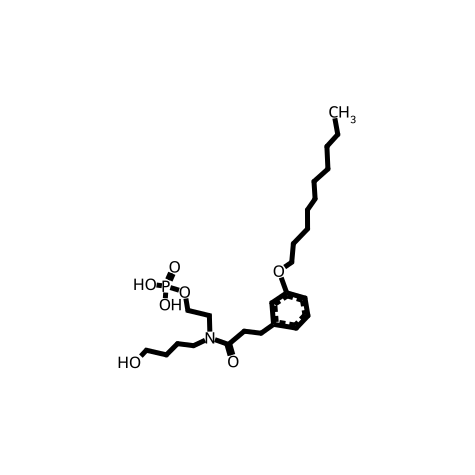 CCCCCCCCCCOc1cccc(CCC(=O)N(CCCCO)CCOP(=O)(O)O)c1